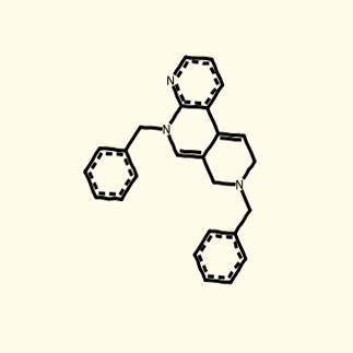 C1=C2CN(Cc3ccccc3)CC=C2c2cccnc2N1Cc1ccccc1